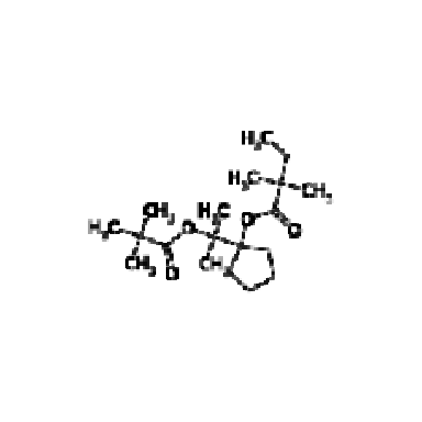 CCC(C)(C)C(=O)OC1(C(C)(C)OC(=O)C(C)(C)C)CCCC1